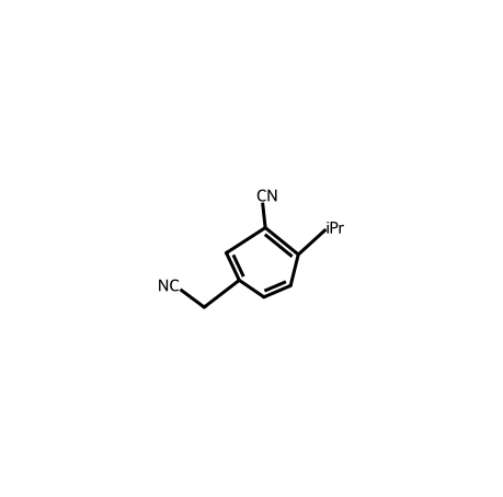 CC(C)c1ccc(CC#N)cc1C#N